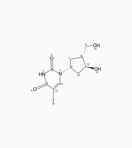 O=c1[nH]c(=O)n([C@@H]2C[C@H](CO)[C@@H](O)C2)cc1I